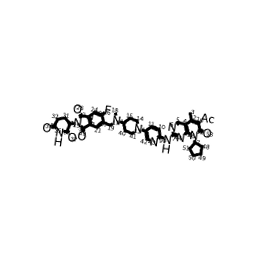 CC(=O)c1c(C)c2cnc(Nc3ccc(N4CCC(N(C)Cc5cc6c(cc5F)C(=O)N(C5CCC(=O)NC5=O)C6=O)CC4)cn3)nc2n(C2CCCC2)c1=O